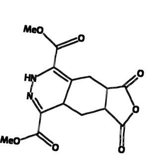 COC(=O)C1=NNC(C(=O)OC)=C2CC3C(=O)OC(=O)C3CC12